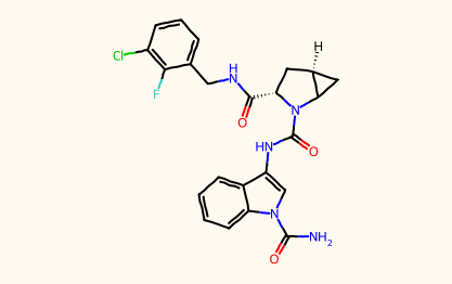 NC(=O)n1cc(NC(=O)N2C3C[C@@H]3C[C@H]2C(=O)NCc2cccc(Cl)c2F)c2ccccc21